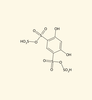 O=S(=O)(O)OS(=O)(=O)c1cc(S(=O)(=O)OS(=O)(=O)O)c(O)cc1O